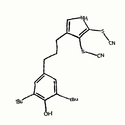 CC(C)(C)c1cc(CCCc2c[nH]c(SC#N)c2SC#N)cc(C(C)(C)C)c1O